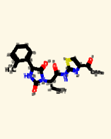 COC(=O)c1csc(NC(=O)[C@H](CC(C)C)N2C(=O)NC(c3ccccc3C)C2=O)n1